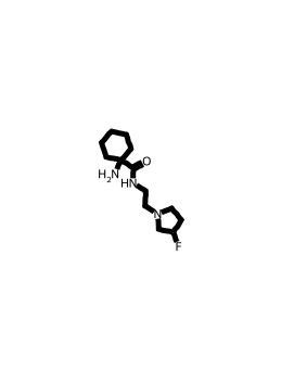 NC1(C(=O)NCCN2CCC(F)C2)CCCCC1